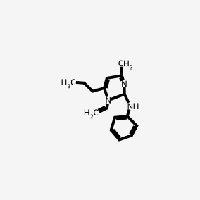 C=CN1C(CCC)=CC(C)=NC1Nc1ccccc1